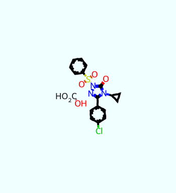 O=C(O)O.O=c1n(S(=O)(=O)c2ccccc2)nc(-c2ccc(Cl)cc2)n1C1CC1